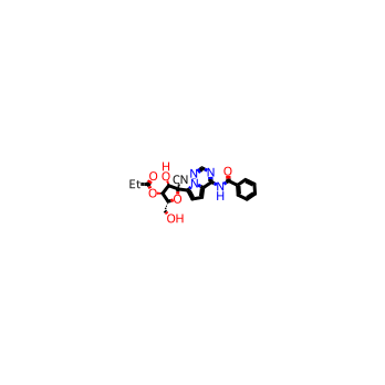 CCC(=O)O[C@H]1[C@@H](O)[C@](C#N)(c2ccc3c(NC(=O)c4ccccc4)ncnn23)O[C@@H]1CO